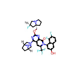 [2H][C@]1(F)CN2CCC[C@@]2(COc2nc(N3C[C@H]4CC[C@@H](C3)N4)c3cc(C(F)(F)F)n(-c4cc(O)cc5ccc(F)c(F)c45)c(=O)c3n2)C1